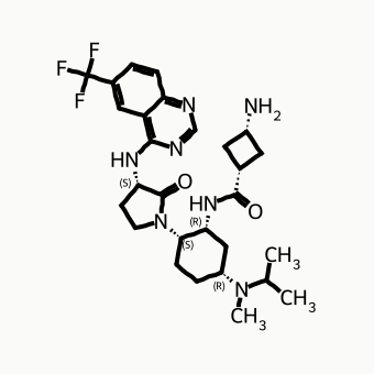 CC(C)N(C)[C@@H]1CC[C@H](N2CC[C@H](Nc3ncnc4ccc(C(F)(F)F)cc34)C2=O)[C@H](NC(=O)[C@H]2C[C@@H](N)C2)C1